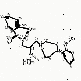 CCOc1ccccc1N1CCN(CC(C)Cn2nnc3ccccc3c2=O)CC1.Cl